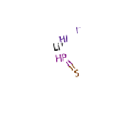 I.P=S.[I-].[Li+]